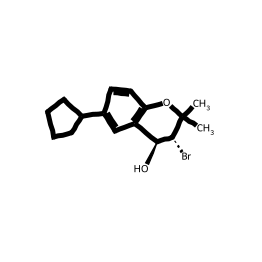 CC1(C)Oc2ccc(C3CCCC3)cc2[C@H](O)[C@H]1Br